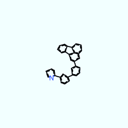 c1ccc(-c2cccc(-c3cccc(-c4cc5c6c(cccc6c4)-c4ccccc4-5)c3)c2)nc1